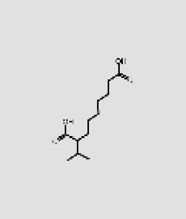 CC(C)C(CCCCCCC(=O)O)C(=O)O